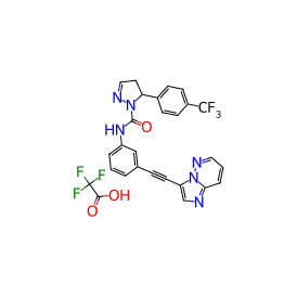 O=C(Nc1cccc(C#Cc2cnc3cccnn23)c1)N1N=CCC1c1ccc(C(F)(F)F)cc1.O=C(O)C(F)(F)F